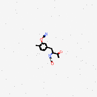 CC(=O)C(Cc1ccc(C)c(OC#N)c1)N=C=O